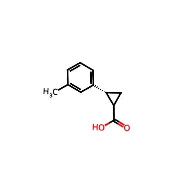 Cc1cccc([C@@H]2CC2C(=O)O)c1